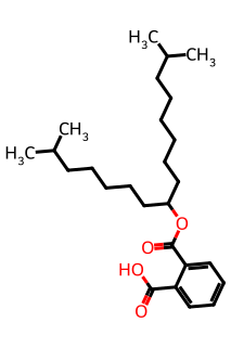 CC(C)CCCCCCC(CCCCCC(C)C)OC(=O)c1ccccc1C(=O)O